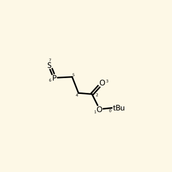 CC(C)(C)OC(=O)CCP=S